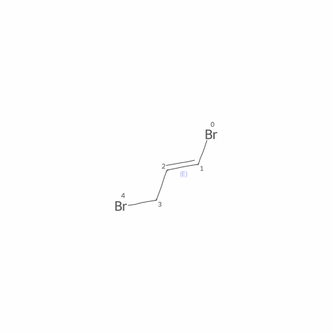 Br/C=C/CBr